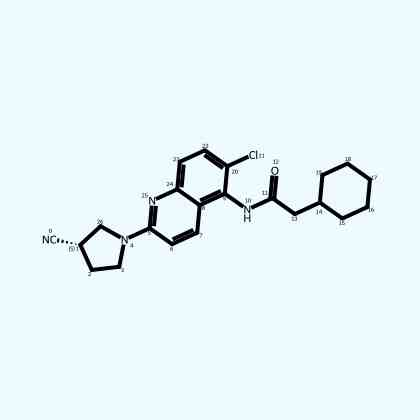 N#C[C@H]1CCN(c2ccc3c(NC(=O)CC4CCCCC4)c(Cl)ccc3n2)C1